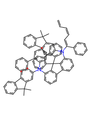 C=C/C=C\C=C(/c1ccccc1)N(c1ccc2c(c1)C(C)(C)c1ccccc1-2)c1cccc2c1C1(c3ccccc3-c3ccccc31)c1c-2cccc1N(c1ccc2c(c1)C(C)(C)c1ccccc1-2)c1ccccc1-c1ccccc1